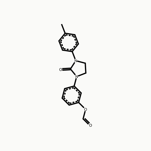 Cc1ccc(N2CCN(c3cccc(OC=O)c3)C2=O)cc1